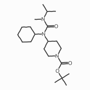 CC(C)N(C)C(=O)N(C1CCCCC1)C1CCN(C(=O)OC(C)(C)C)CC1